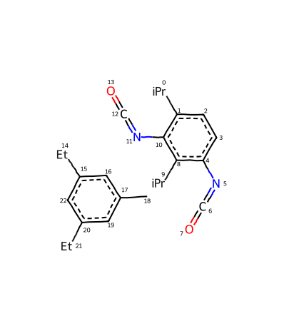 CC(C)c1ccc(N=C=O)c(C(C)C)c1N=C=O.CCc1cc(C)cc(CC)c1